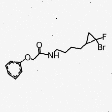 O=C(COc1ccccc1)NCCCCC1CC1(F)Br